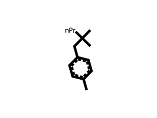 CCCC(C)(C)Cc1ccc(C)cc1